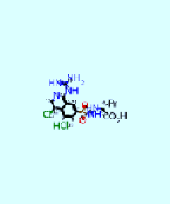 CC(C)[C@@H](NNS(=O)(=O)c1ccc2c(Cl)cnc(NC(=N)N)c2c1)C(=O)O.Cl